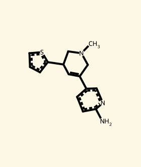 CN1CC(c2ccc(N)nc2)=CC(c2cccs2)C1